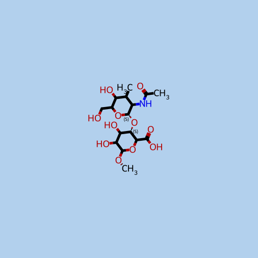 COC1OC(C(=O)O)[C@@H](O[C@@H]2OC(CO)C(O)C(C)C2NC(C)=O)C(O)C1O